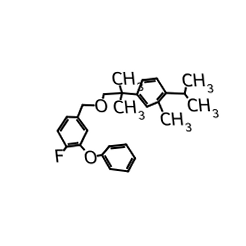 Cc1cc(C(C)(C)COCc2ccc(F)c(Oc3ccccc3)c2)ccc1C(C)C